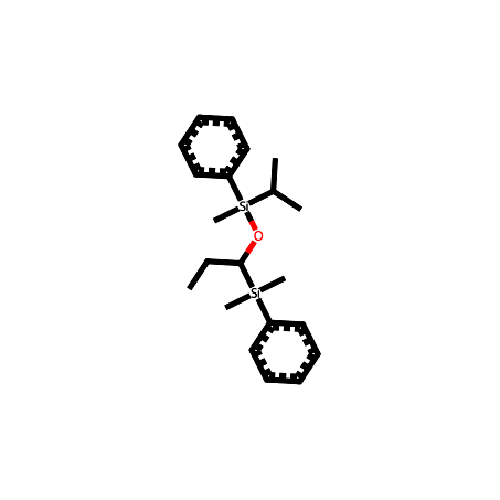 CCC(O[Si](C)(c1ccccc1)C(C)C)[Si](C)(C)c1ccccc1